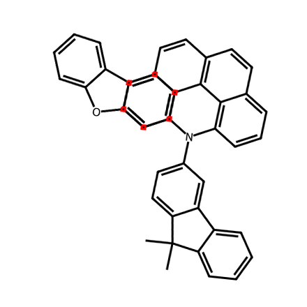 CC1(C)c2ccccc2-c2cc(N(c3ccc4c(c3)oc3ccccc34)c3cccc4ccc5ccc6ccccc6c5c34)ccc21